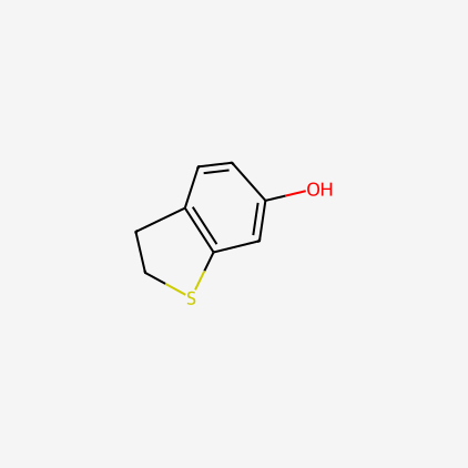 Oc1ccc2c(c1)SCC2